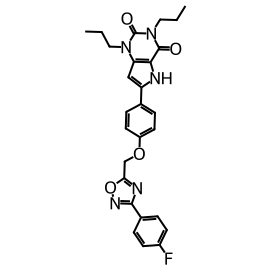 CCCn1c(=O)c2[nH]c(-c3ccc(OCc4nc(-c5ccc(F)cc5)no4)cc3)cc2n(CCC)c1=O